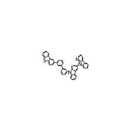 c1cc(-c2cccc(-n3c4ccccc4c4cc(-n5c6ccccc6c6cccnc65)ccc43)c2)cc(-c2ccc3sc4ccccc4c3c2)c1